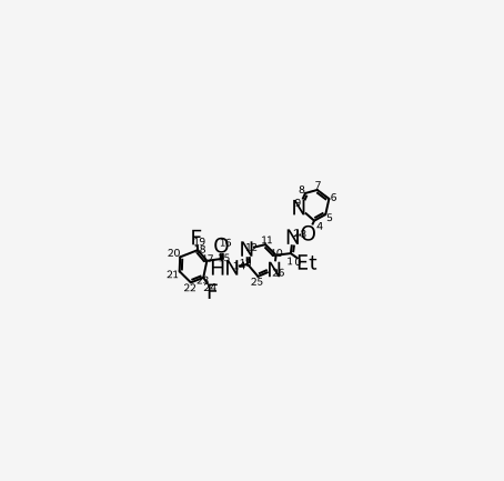 CC/C(=N\Oc1ccccn1)c1cnc(NC(=O)c2c(F)cccc2F)cn1